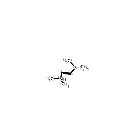 C[SiH](C)/C=C/[SiH](C)C